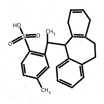 Cc1ccc(S(=O)(=O)O)c(C(C)C2C3=C(CC=CC3)CCc3ccccc32)c1